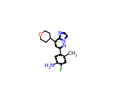 Cc1cc(F)c(N)cc1-c1cc(C2CCOCC2)c2nccn2n1